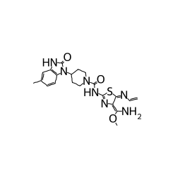 C=C/N=C1/SC(NC(=O)N2CCC(n3c(=O)[nH]c4cc(C)ccc43)CC2)=N/C1=C(/N)OC